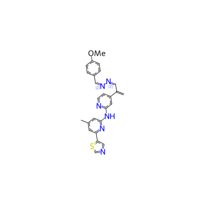 C=C(/C=N\N=C/c1ccc(OC)cc1)c1ccnc(Nc2cc(C)cc(-c3cncs3)n2)c1